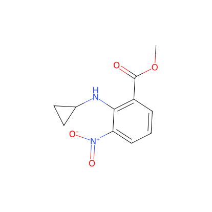 COC(=O)c1cccc([N+](=O)[O-])c1NC1CC1